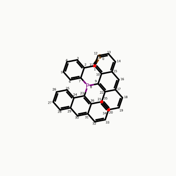 S=Cc1ccccc1P(c1c2ccccc2cc2ccccc12)c1c2ccccc2cc2ccccc12